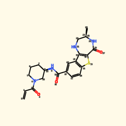 C=CC(=O)N1CCC[C@@H](NC(=O)c2ccc3sc4c(c3c2)NC[C@@H](C)NC4=O)C1